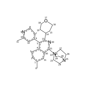 Cc1ccc2c(-c3ccnc(C)c3)c(C3CCOCC3)nc([N+]34CCN(CC3)CC4)c2c1